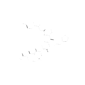 C/C=C/C[C@@H](C)[C@@H](O)CC(=O)N[C@@H](CC)C(=O)N(C)[C@H](SCCN1CCCC1)C(=O)N(C)[C@@H](CC(C)(C)OC)C(=O)NC(=O)N(C)C(N)=O